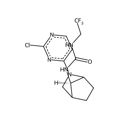 O=C(NCC(F)(F)F)N[C@@H]1C2CCC1N(c1ccnc(Cl)n1)C2